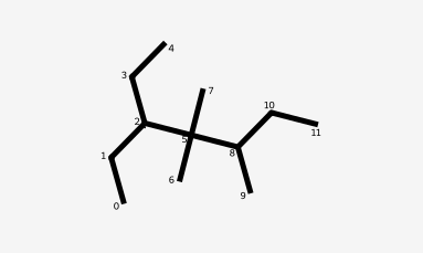 CC[C](CC)C(C)(C)C(C)CC